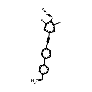 C=Cc1ccc(-c2ccc(C#Cc3cc(F)c(N=C=S)c(F)c3)cc2)cc1